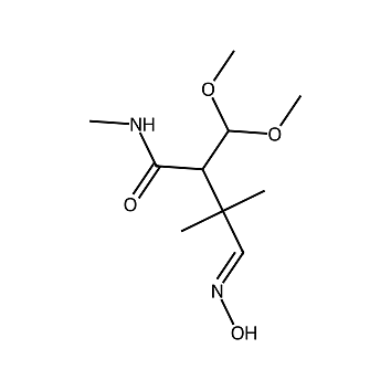 CNC(=O)C(C(OC)OC)C(C)(C)C=NO